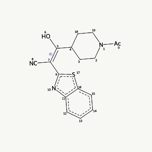 CC(=O)N1CCC(/C(O)=C(/C#N)c2nc3ccccc3s2)CC1